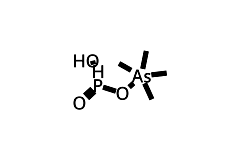 C[As](C)(C)(C)O[PH](=O)O